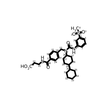 CS(=O)(=O)c1cccc(NC(=O)N(Cc2ccc(C(=O)NCCC(=O)O)cc2)C2CCC(C3CCCCC3)CC2)c1